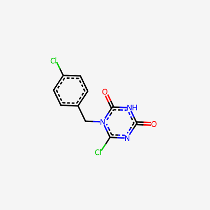 O=c1nc(Cl)n(Cc2ccc(Cl)cc2)c(=O)[nH]1